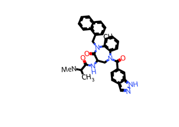 CNC(C)C(=O)NC1CN(C(=O)c2ccc3cn[nH]c3c2)c2ccccc2N(Cc2c(C)ccc3ccccc23)C1=O